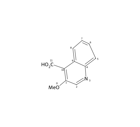 COc1cnc2ccccc2c1C(=O)O